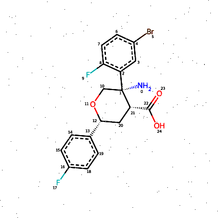 N[C@@]1(c2cc(Br)ccc2F)CO[C@@H](c2ccc(F)cc2)C[C@H]1C(=O)O